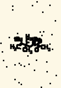 C=C(C(C)(C)C)C(C)(C)CN(C(C)(C)C)S(C)(=O)=O